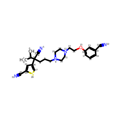 CC(C)C(C#N)(CCCN1CCN(CCOc2cccc(C#N)c2)CC1)c1csc(C#N)c1